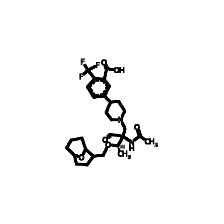 CC(=O)NC(C=O)(CN1CCC(c2ccc(C(F)(F)F)c(C(=O)O)c2)CC1)[C@H](C)OCC1CCC2CCCC1O2